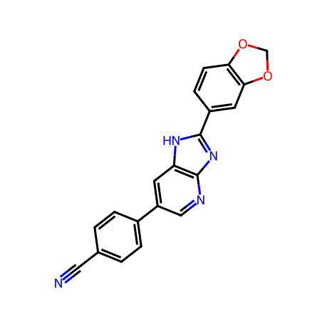 N#Cc1ccc(-c2cnc3nc(-c4ccc5c(c4)OCO5)[nH]c3c2)cc1